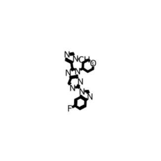 Cn1cncc1-c1nc2cnc(-n3cnc4ccc(F)cc43)nc2n1C1CCOCC1